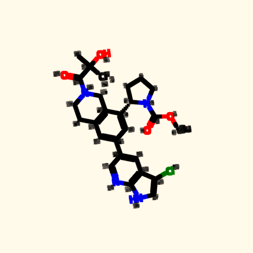 CC(C)(C)OC(=O)N1CCC[C@H]1c1cc(-c2cnc3[nH]cc(Cl)c3c2)cc2c1CN(C(=O)C(C)(O)C(F)(F)F)CC2